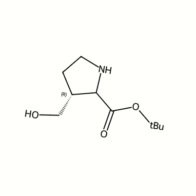 CC(C)(C)OC(=O)C1NCC[C@H]1CO